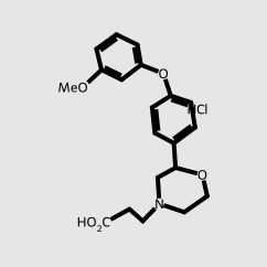 COc1cccc(Oc2ccc(C3CN(CCC(=O)O)CCO3)cc2)c1.Cl